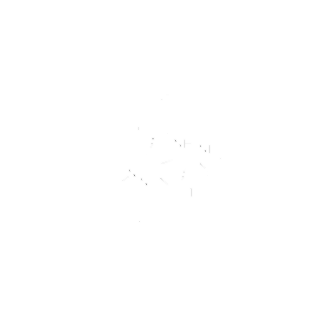 CCc1nn(-c2cc(F)c(C(N)=O)c(NC(CCO)C(=O)OC)c2)c2c1CCC(C)(C)C2